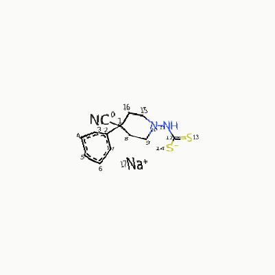 N#CC1(c2ccccc2)CCN(NC(=S)[S-])CC1.[Na+]